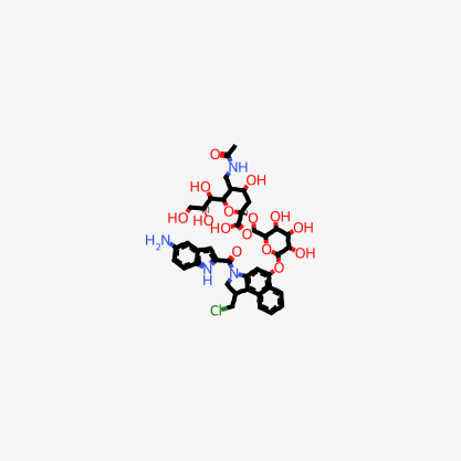 CC(=O)NCC1C(O)C[C@@](OCC2OC(Oc3cc4c(c5ccccc35)C(CCl)CN4C(=O)c3cc4cc(N)ccc4[nH]3)C(O)C(O)C2O)(C(=O)O)OC1C(O)[C@H](O)CO